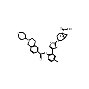 Cc1ccc(OC(=O)c2ccc3c(c2)CCN(C2CCOCC2)C3)c(-c2csc(N3CC[C@@]4(C(=O)O)C[C@H]4C3)n2)c1